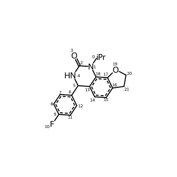 CC(C)N1C(=O)NC(c2ccc(F)cc2)c2ccc3c(c21)OCC3